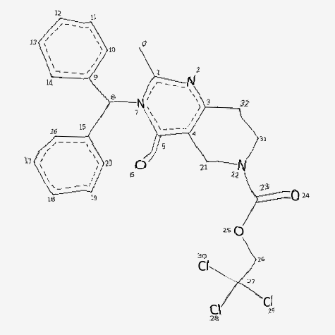 Cc1nc2c(c(=O)n1C(c1ccccc1)c1ccccc1)CN(C(=O)OCC(Cl)(Cl)Cl)CC2